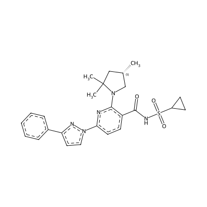 C[C@@H]1CN(c2nc(-n3ccc(-c4ccccc4)n3)ccc2C(=O)NS(=O)(=O)C2CC2)C(C)(C)C1